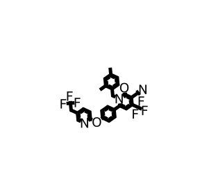 Cc1ccc(Cn2c(-c3ccc(Oc4ccc(CC(F)(F)F)cn4)cc3)cc(C(F)(F)F)c(C#N)c2=O)c(C)c1